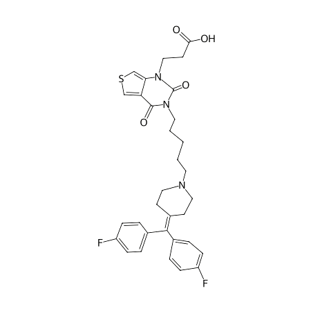 O=C(O)CCn1c(=O)n(CCCCCN2CCC(=C(c3ccc(F)cc3)c3ccc(F)cc3)CC2)c(=O)c2cscc21